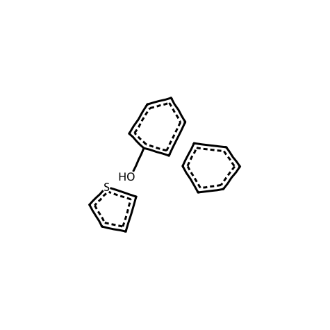 Oc1ccccc1.c1ccccc1.c1ccsc1